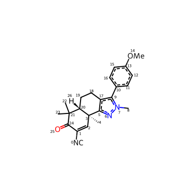 [C-]#[N+]C1=C[C@]2(C)c3nn(C)c(-c4ccc(OC)cc4)c3CC[C@H]2C(C)(C)C1=O